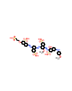 COc1ccc(Nc2ccc3c(O)c(N=Nc4c(OC)cc(N=Nc5ccc(N=Nc6ccc7cc(OCCCS(=O)(=O)O)cc(S(=O)(=O)O)c7c6)c6ccc(S(=O)(=O)O)cc56)c5cc(S(=O)(=O)O)ccc45)c(S(=O)(=O)O)cc3c2)cc1